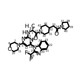 C[C@H](Nc1nc(N2CCOCC2)cc(-n2c(C(F)F)nc3ccccc32)n1)C(=O)N1CCC(CC(=O)N2CCCC2)CC1